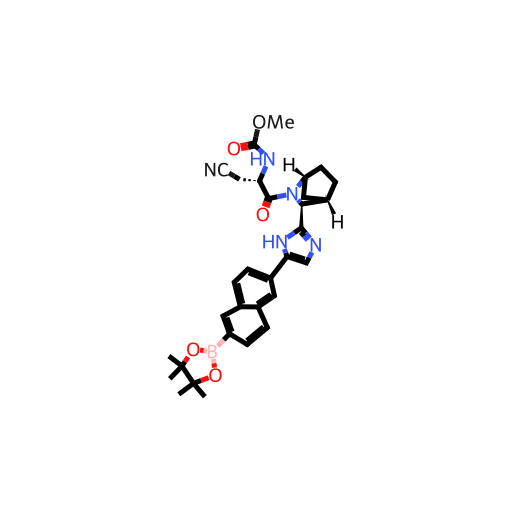 COC(=O)N[C@@H](CC#N)C(=O)N1[C@@H]2CC[C@@H](C2)[C@H]1c1ncc(-c2ccc3cc(B4OC(C)(C)C(C)(C)O4)ccc3c2)[nH]1